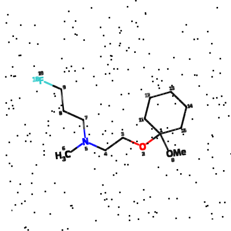 COC1(OCCN(C)CCC[18F])CCCCC1